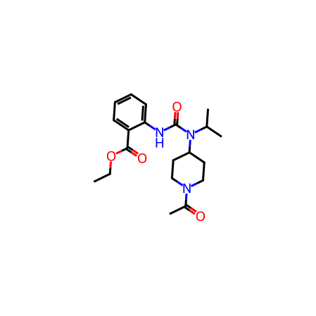 CCOC(=O)c1ccccc1NC(=O)N(C(C)C)C1CCN(C(C)=O)CC1